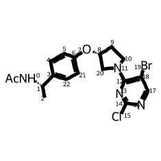 CC(=O)N[C@@H](C)c1ccc(O[C@@H]2CCN(c3nc(Cl)ncc3Br)C2)cc1